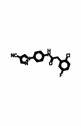 N#Cc1cnn(-c2ccc(NC(=O)Cc3cc(F)ccc3Cl)cc2)c1